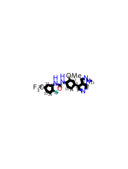 COc1cc(-c2cncc3c2cnn3C)ccc1NC(=O)Nc1cc(C(F)(F)F)ccc1F